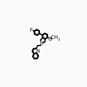 COc1ccc(-c2ccc(F)cc2)c2c1CN(CCc1ccc3ccccc3n1)C2